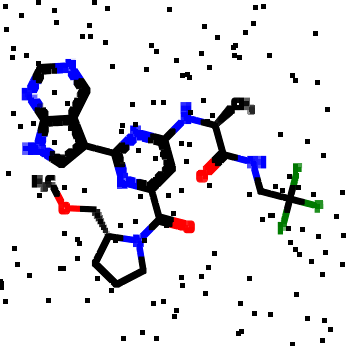 COC[C@H]1CCCN1C(=O)c1cc(N[C@@H](C)C(=O)NCC(F)(F)F)nc(-c2c[nH]c3ncncc23)n1